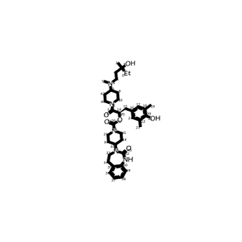 CCC(C)(O)CCN(C)C1CCN(C(=O)[C@@H](Cc2cc(C)c(O)c(C)c2)OC(=O)N2CCC(N3CCc4ccccc4NC3=O)CC2)CC1